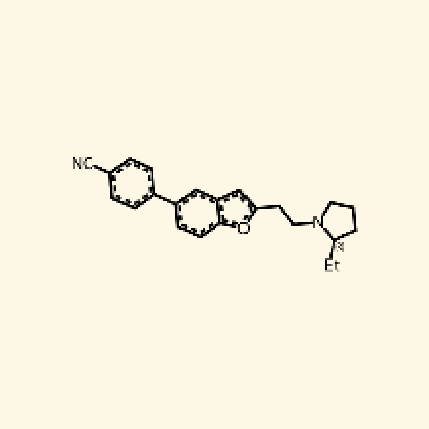 CC[C@@H]1CCCN1CCc1cc2cc(-c3ccc(C#N)cc3)ccc2o1